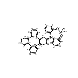 CC1(C)Oc2ccccc2N(c2ccc3c(c2)-c2ccccc2-c2ccccc2-c2ccccc2-3)c2ccccc2O1